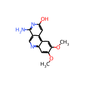 COc1cc2ncc3c(N)nc(O)cc3c2cc1OC